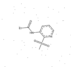 CCC(=O)Nc1cccnc1S(C)(=O)=O